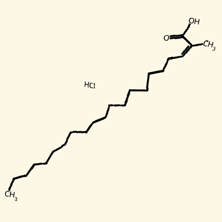 CCCCCCCCCCCCCCCCCCC=C(C)C(=O)O.Cl